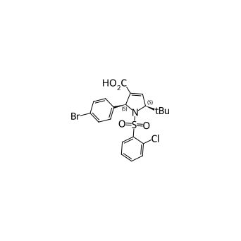 CC(C)(C)[C@@H]1C=C(C(=O)O)[C@H](c2ccc(Br)cc2)N1S(=O)(=O)c1ccccc1Cl